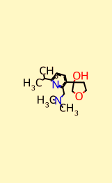 CC(C)c1ccc(C2(O)CCOC2)c(CN(C)C)n1